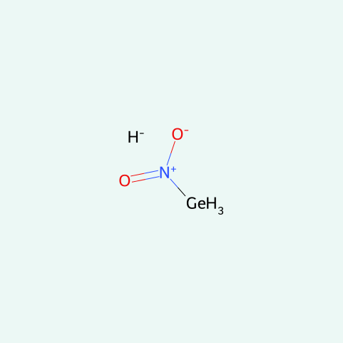 O=[N+]([O-])[GeH3].[H-]